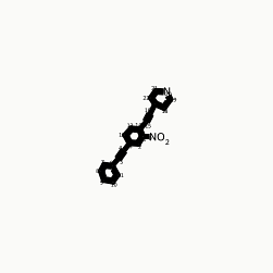 O=[N+]([O-])c1cc(C#Cc2ccccc2)ccc1C#Cc1ccncc1